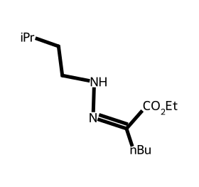 CCCC/C(=N/NCCC(C)C)C(=O)OCC